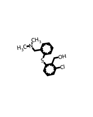 CN(C)Cc1ccccc1Sc1cccc(Cl)c1CO